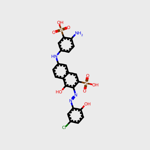 Nc1ccc(Nc2ccc3c(O)c(N=Nc4cc(Cl)ccc4O)c(S(=O)(=O)O)cc3c2)cc1S(=O)(=O)O